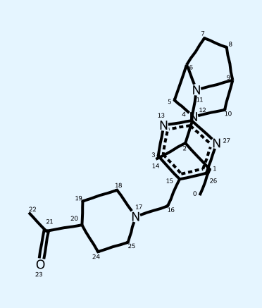 CCC(C)N1CC2CCC(C1)N2c1ncc(CN2CCC(C(C)=O)CC2)cn1